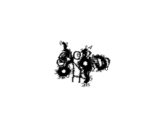 CCCCN1C(=O)C(Nc2cc(OCC)c(N3CCOCC3)cc2OCC)=C(c2ccccc2)S1(=O)=O